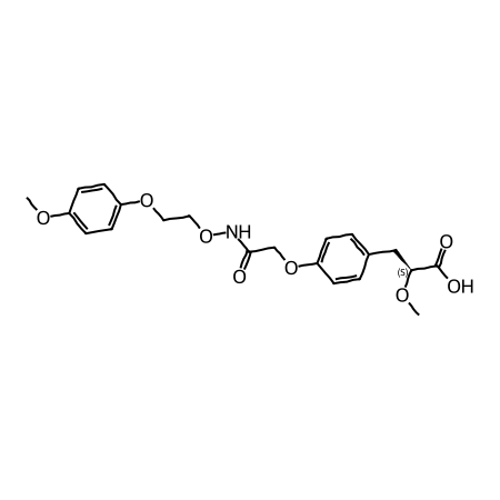 COc1ccc(OCCONC(=O)COc2ccc(C[C@H](OC)C(=O)O)cc2)cc1